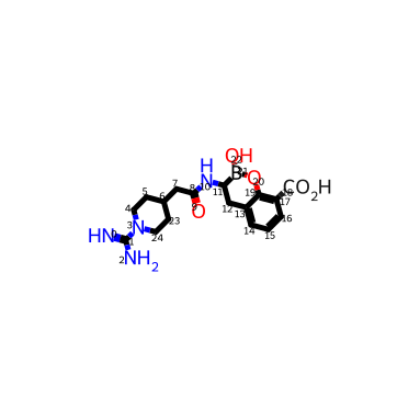 N=C(N)N1CCC(CC(=O)NC2Cc3cccc(C(=O)O)c3OB2O)CC1